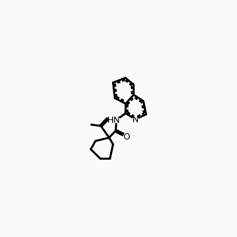 C=C(C)C1(C(=O)Nc2nccc3ccccc23)CCCCC1